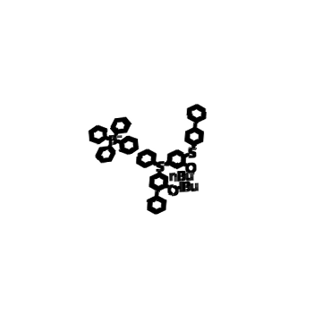 CCCCOc1cc([S+](c2ccccc2)c2ccc(-c3ccccc3)c(OC(C)CC)c2)ccc1Sc1ccc(-c2ccccc2)cc1.c1ccc([B-](c2ccccc2)(c2ccccc2)c2ccccc2)cc1